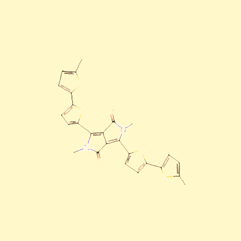 Cc1ccc(-c2ccc(C3=C4C(=O)N(C)C(c5ccc(-c6ccc(C)s6)s5)=C4C(=O)N3C)s2)s1